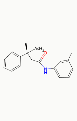 Cc1cccc(NC(=O)C[C@@](C)([AsH2])c2ccccc2)c1